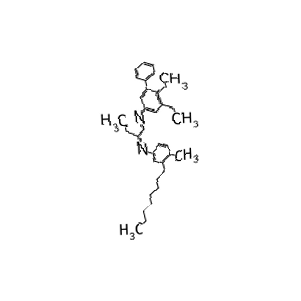 CCCCCCCCc1cc(N=C(C=Nc2cc(CC)c(CC)c(-c3ccccc3)c2)CC)ccc1C